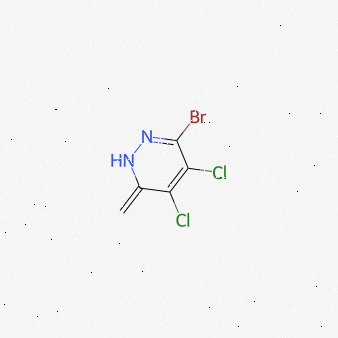 C=C1NN=C(Br)C(Cl)=C1Cl